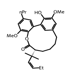 CC/C=C\C(C)(C)[C@H]1CCCCc2cc(OC)c(O)c(c2)-c2cc(CCC)cc(OC)c2OC1=O